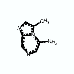 Cc1cnc2cncc(N)n12